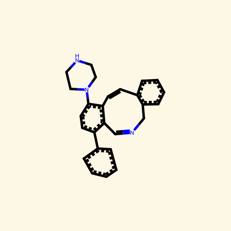 C1=Cc2c(N3CCNCC3)ccc(-c3ccccc3)c2C=NCc2ccccc21